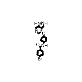 O=C(Nc1ccc(ON2C=NC=C3NNC=C32)cc1)c1ccc(Br)cc1